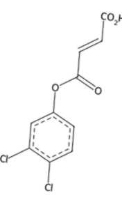 O=C(O)C=CC(=O)Oc1ccc(Cl)c(Cl)c1